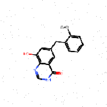 COc1ccccc1Cc1cc(O)c2nc[nH]c(=O)c2c1